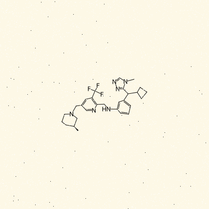 C[C@H]1CCCN(Cc2cnc(CNc3cccc(C(c4nncn4C)C4CCC4)c3)c(C(F)(F)F)c2)C1